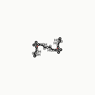 O=C(OCC(O)COc1ccc(C2(c3ccc(OCC(O)COC(=O)C4CCC(C(=O)OCC(O)COc5ccc(C6(c7ccc(OCC(O)COC(=O)c8ccccc8O)cc7)c7ccccc7-c7ccccc76)cc5)CC4)cc3)c3ccccc3-c3ccccc32)cc1)c1ccccc1O